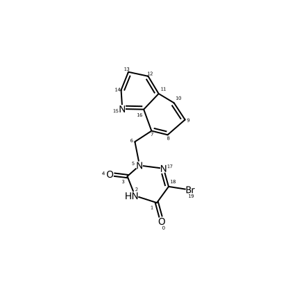 O=c1[nH]c(=O)n(Cc2cccc3cccnc23)nc1Br